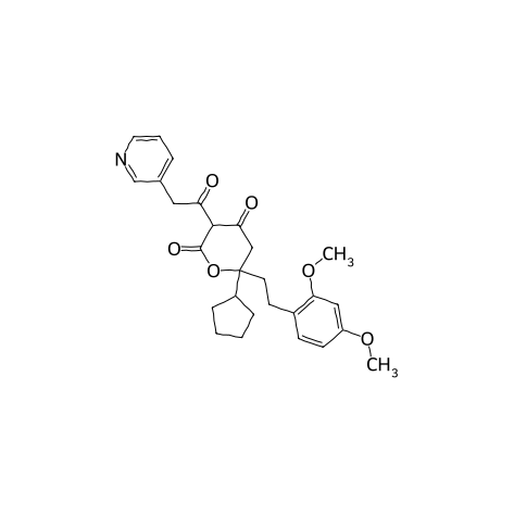 COc1ccc(CCC2(C3CCCC3)CC(=O)C(C(=O)Cc3cccnc3)C(=O)O2)c(OC)c1